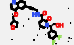 O=C(NCC#Cc1ccc2nccc(OCC3CCOC3)c2c1)c1cccn([C@H](CO)c2ccc(F)c(F)c2)c1=O